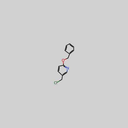 ClCc1ccc(OCc2ccccc2)nc1